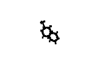 [N]c1ccc2ccccc2c1